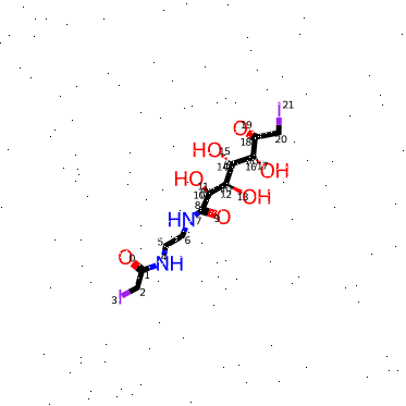 O=C(CI)NCCNC(=O)[C@@H](O)[C@H](O)[C@H](O)[C@@H](O)C(=O)CI